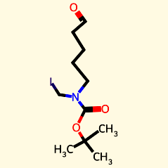 CC(C)(C)OC(=O)N(CI)CCCCC=O